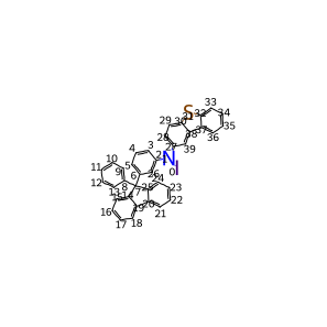 IN(c1cccc(C2(c3ccccc3)c3ccccc3-c3ccccc32)c1)c1ccc2sc3ccccc3c2c1